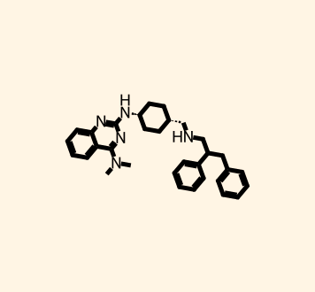 CN(C)c1nc(N[C@H]2CC[C@@H](CNCC(Cc3ccccc3)c3ccccc3)CC2)nc2ccccc12